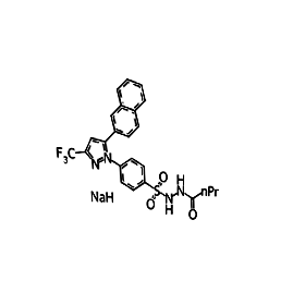 CCCC(=O)NNS(=O)(=O)c1ccc(-n2nc(C(F)(F)F)cc2-c2ccc3ccccc3c2)cc1.[NaH]